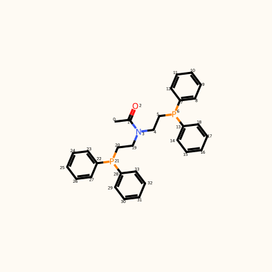 CC(=O)N(CCP(c1ccccc1)c1ccccc1)CCP(c1ccccc1)c1ccccc1